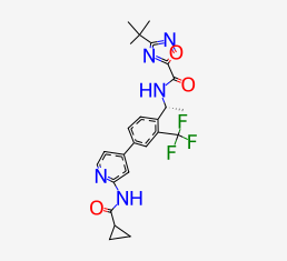 C[C@@H](NC(=O)c1nc(C(C)(C)C)no1)c1ccc(-c2ccnc(NC(=O)C3CC3)c2)cc1C(F)(F)F